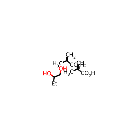 C=C(C)C(=O)O.C=C(C)C(=O)O.CCC(O)CO